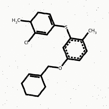 Cc1ccc(OCC2=CCCCC2)cc1SC1=CCC(C)C(Cl)=C1